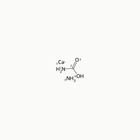 N.NC(=O)O.[Ca]